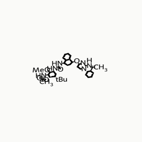 COc1c(NC(=O)Nc2ccc(Oc3ccnc(N[C@H](C)c4ccccc4)n3)c3ccccc23)cc(C(C)(C)C)cc1NS(C)(=O)=O